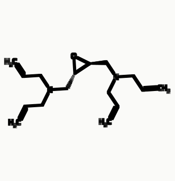 C=CCN(CC=C)C[C@@H]1O[C@H]1CN(CC=C)CC=C